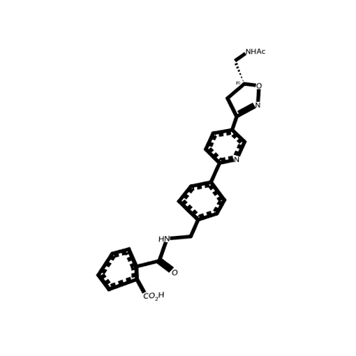 CC(=O)NC[C@H]1CC(c2ccc(-c3ccc(CNC(=O)c4ccccc4C(=O)O)cc3)nc2)=NO1